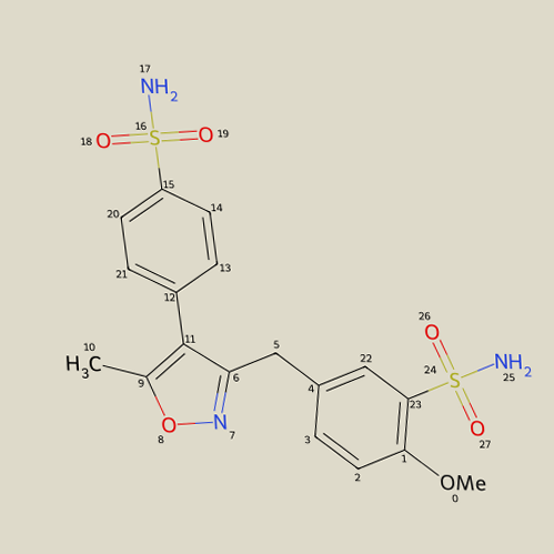 COc1ccc(Cc2noc(C)c2-c2ccc(S(N)(=O)=O)cc2)cc1S(N)(=O)=O